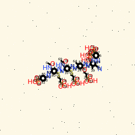 CC(=O)Nc1cc(N=Nc2cc(SCCCS(=O)(=O)O)c(N=Nc3cc(OCCCS(=O)(=O)O)c(N=Nc4c(C)c(C#N)c5nc6ccc(S(=O)(=O)O)c(S(=O)(=O)O)c6n5c4O)cc3C)cc2NC(C)=O)c(SCCCS(=O)(=O)O)cc1N=Nc1ccc(S(=O)(=O)O)cc1